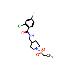 O=C(NCC1CCN(S(=O)(=O)CC(F)(F)F)CC1)c1ccc(F)cc1Cl